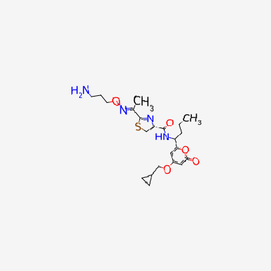 CCCC(NC(=O)C1CSC(/C(C)=N/OCCCN)=N1)c1cc(OCC2CC2)cc(=O)o1